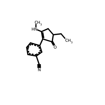 CCC1CC(NC)=C(c2cccc(C#N)c2)C1=O